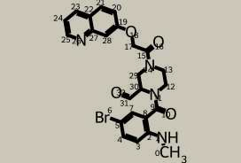 CNc1ccc(Br)cc1C(=O)N1CCN(C(=O)COc2ccc3cccnc3c2)CC1C=O